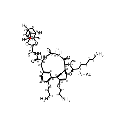 CC(=O)N[C@@H](CCCCN)C(=O)N(C)[C@@H]1C(=O)N[C@@H](C)C(=O)N[C@H](C(=O)N[C@@H](C)B2O[C@@H]3C[C@@H]4C[C@@H](C4(C)C)[C@]3(C)O2)Cc2ccc(OCCN)c(c2)-c2cc1ccc2OCCN